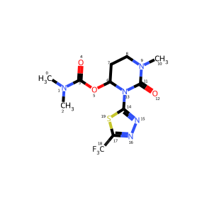 CN(C)C(=O)OC1CCN(C)C(=O)N1c1nnc(C(F)(F)F)s1